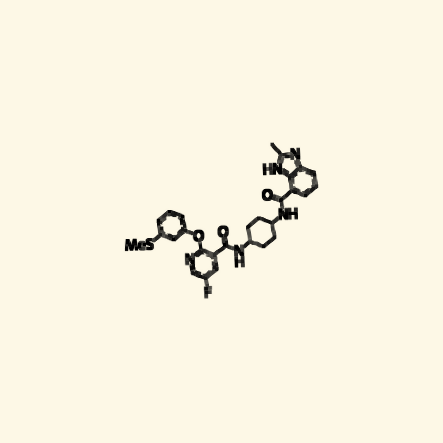 CSc1cccc(Oc2ncc(F)cc2C(=O)NC2CCC(NC(=O)c3cccc4nc(C)[nH]c34)CC2)c1